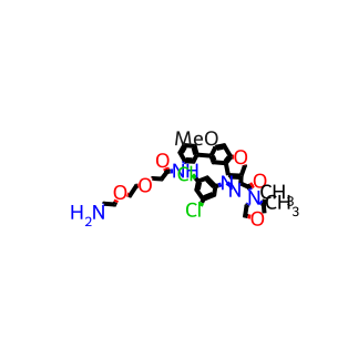 COc1cc2c(cc1-c1cccc(NC(=O)CCOCCOCCN)c1)-c1c(c(C(=O)N3CCOCC3(C)C)nn1-c1cc(Cl)cc(Cl)c1)CO2